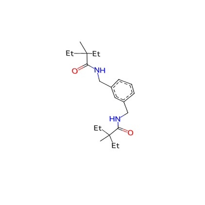 CCC(C)(CC)C(=O)NCc1cccc(CNC(=O)C(C)(CC)CC)c1